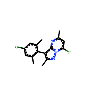 Cc1cc(Cl)n2nc(C)c(-c3c(C)cc(Cl)cc3C)c2n1